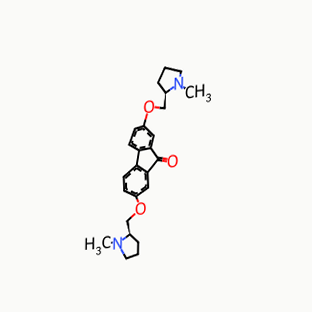 CN1CCC[C@@H]1COc1ccc2c(c1)C(=O)c1cc(OC[C@H]3CCCN3C)ccc1-2